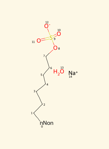 CCCCCCCCCCCCCCCCOS(=O)(=O)[O-].O.[Na+]